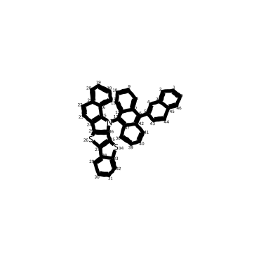 c1ccc2cc(-c3c4ccccc4c(-n4c5c6ccccc6ccc5c5sc6c7ccccc7sc6c54)c4ccccc34)ccc2c1